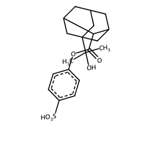 CC(C)(O)C12CC3CC(C1)C(C(=O)Oc1ccc(S(=O)(=O)O)cc1)C(C3)C2